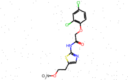 O=C(COc1ccc(Cl)cc1Cl)Nc1ncc(CCO[N+](=O)[O-])s1